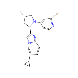 C[C@H]1C[C@H](c2cn3cc(C4CC4)ccc3n2)N(c2ccnc(Br)c2)C1